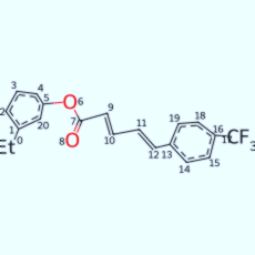 CCc1cccc(OC(=O)C=CC=Cc2ccc(C(F)(F)F)cc2)c1